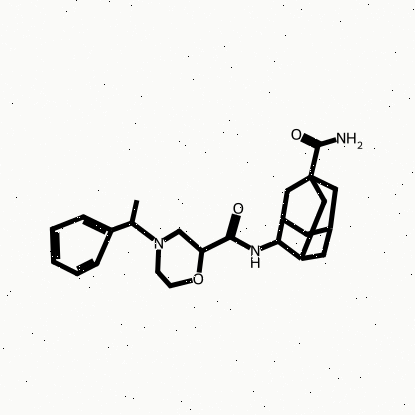 CC(c1ccccc1)N1CCOC(C(=O)NC2C3CC4CC2CC(C(N)=O)(C4)C3)C1